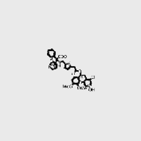 COc1ccc([C@H](Cc2c(Cl)c[n+](O)cc2Cl)OC(=O)Cc2ccc(CNC(C(=O)[O-])(c3ccccc3)[C@H]3CN4CCC3CC4)s2)cc1OC